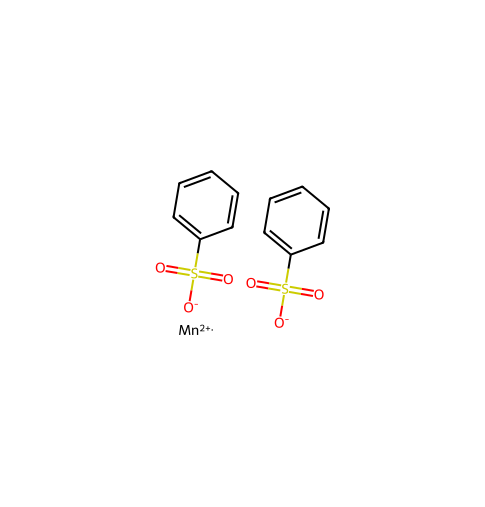 O=S(=O)([O-])c1ccccc1.O=S(=O)([O-])c1ccccc1.[Mn+2]